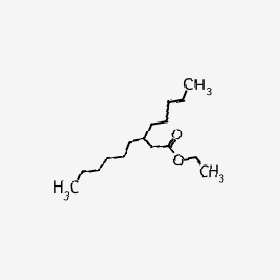 CCCCCCC(CCCCC)CC(=O)OCC